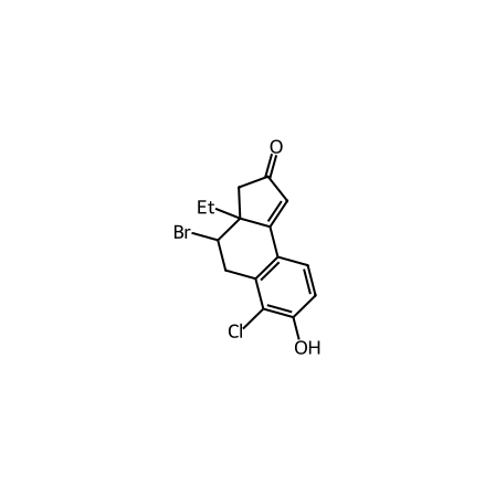 CCC12CC(=O)C=C1c1ccc(O)c(Cl)c1CC2Br